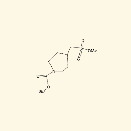 COS(=O)(=O)CC1CCN(C(=O)OC(C)(C)C)CC1